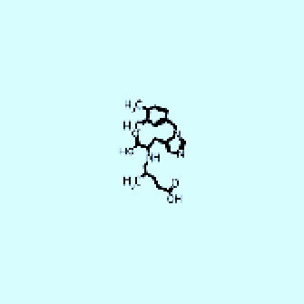 Cc1ccc(Cn2cncc2CC(NCC(C)CCC(=O)O)C(=O)O)cc1C